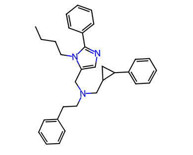 CCCCn1c(CN(CCc2ccccc2)CC2CC2c2ccccc2)cnc1-c1ccccc1